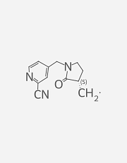 [CH2][C@H]1CCN(Cc2ccnc(C#N)c2)C1=O